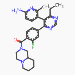 CCc1ncnc(-c2ccc(C(=O)N3CCN4CCCCC4C3)c(F)c2)c1-c1ccc(N)nc1C